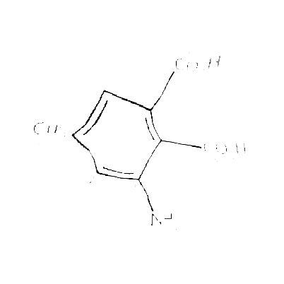 Nc1cccc(C(=O)O)c1C(=O)O.[Cu]